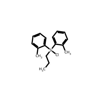 CCC[Si](Cl)(c1ccccc1C)c1ccccc1C